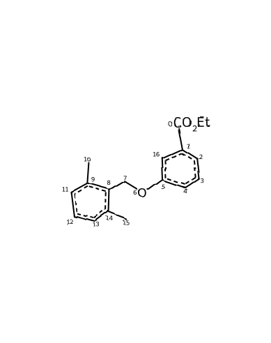 CCOC(=O)c1cccc(OCc2c(C)cccc2C)c1